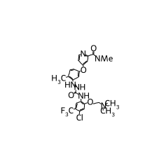 CNC(=O)c1cc(Oc2ccc(C)c(NNC(=O)Nc3cc(C(F)(F)F)c(Cl)cc3OCCN(C)C)c2)ccn1